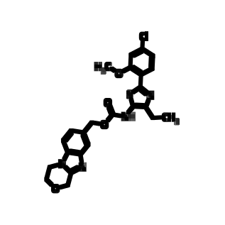 CCc1nc(-c2ccc(Cl)cc2OC)sc1NC(=O)OCc1ccc2c(c1)nc1n2CCOC1